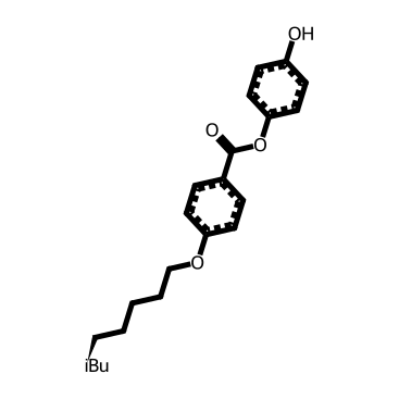 CC[C@H](C)CCCCCOc1ccc(C(=O)Oc2ccc(O)cc2)cc1